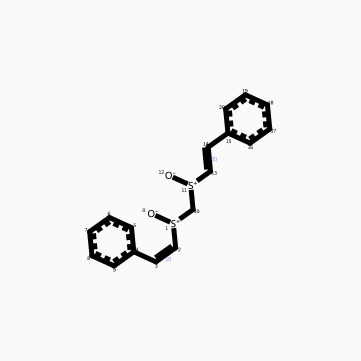 [O-][S+](/C=C\c1ccccc1)C[S+]([O-])/C=C/c1ccccc1